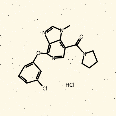 Cl.Cn1cnc2c(Oc3cccc(Cl)c3)ncc(C(=O)N3CCCC3)c21